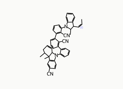 C/C=C\C1c2ccccc2N(c2cccc(-c3cccc(-c4ccccc4N4c5ccc(C#N)cc5C5(C)C(C)CC=CC45)c3C#N)c2C#N)C1C